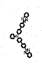 c1ccc(N(c2ccc(-c3ccc(-n4nc5ccccc5n4)cc3)cc2)c2ccc(-c3ccc(-n4nc5ccccc5n4)cc3)cc2)cc1